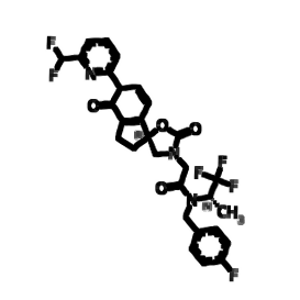 C[C@H](N(Cc1ccc(F)cc1)C(=O)CN1C[C@]2(CCC3=C2C=CC(c2cccc(C(F)F)n2)C3=O)OC1=O)C(F)(F)F